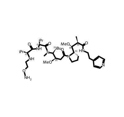 CC[C@H](C)C([C@@H](CC(=O)N1CCC[C@H]1[C@H](OC)[C@@H](C)C(=O)NCCc1ccncc1)OC)N(C)C(=O)[C@@H](NC(=O)[C@@H](NCCON)C(C)C)C(C)C